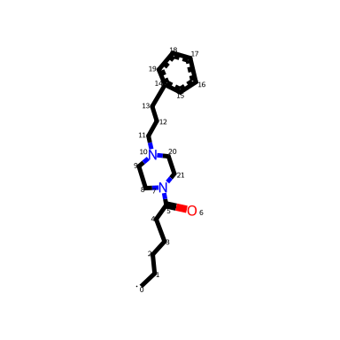 [CH2]CCCCC(=O)N1CCN(CCCc2ccccc2)CC1